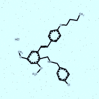 CCCCOc1ccc(/C=C/c2cc(OC)cc(OC)c2CNCc2ccc(Cl)cc2)cc1.Cl